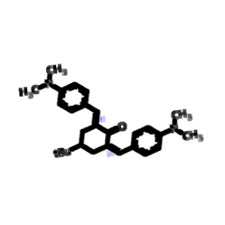 CN(C)c1ccc(/C=C2/CC(C(C)(C)C)C/C(=C\c3ccc(N(C)C)cc3)C2=O)cc1